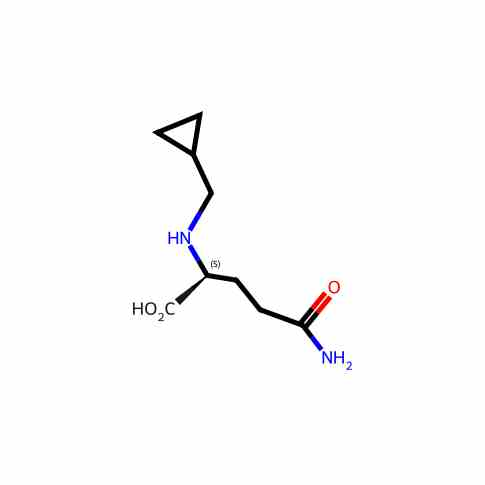 NC(=O)CC[C@H](NCC1CC1)C(=O)O